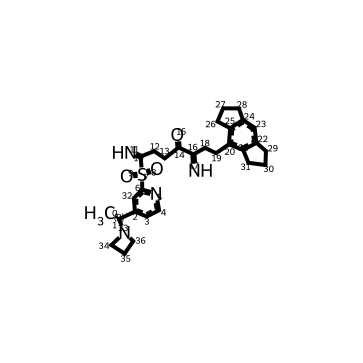 C[C@H](c1ccnc(S(=O)(=O)C(=N)CCC(=O)C(=N)CCc2c3c(cc4c2CCC4)CCC3)c1)N1CCC1